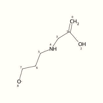 C=C(O)CNCCC[O]